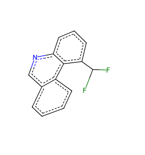 FC(F)c1cccc2ncc3ccccc3c12